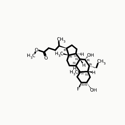 CC[C@H]1[C@@H](O)[C@@H]2[C@H](CC[C@]3(C)[C@@H](C(C)CCC(=O)OC)CC[C@@H]23)[C@@]2(C)C[C@H](F)[C@@H](O)C[C@@H]12